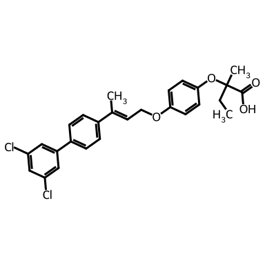 CCC(C)(Oc1ccc(OC/C=C(\C)c2ccc(-c3cc(Cl)cc(Cl)c3)cc2)cc1)C(=O)O